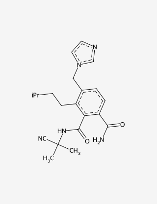 CC(C)CCc1c(Cn2ccnc2)ccc(C(N)=O)c1C(=O)NC(C)(C)C#N